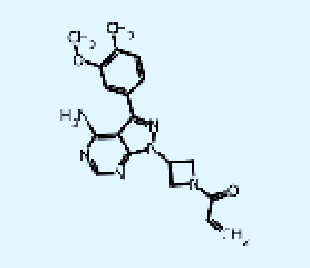 C=CC(=O)N1CC(n2nc(-c3ccc(C)c(OC)c3)c3c(N)ncnc32)C1